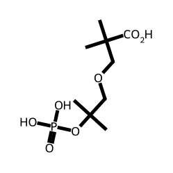 CC(C)(COCC(C)(C)C(=O)O)OP(=O)(O)O